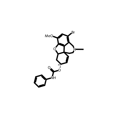 COc1cc(Br)c2c3c1OC1C[C@@H](OC(=O)Nc4ccccc4)C=CC31CCN(C)C2